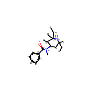 CCC1(C)CC(N(C)C(=O)c2ccccc2)C(C)C(C)(CC)N1